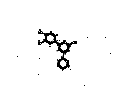 Oc1cc(-c2cccnc2)cc(-c2ccc(O)c(Br)n2)c1